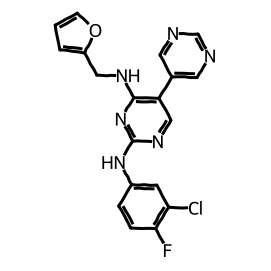 Fc1ccc(Nc2ncc(-c3cncnc3)c(NCc3ccco3)n2)cc1Cl